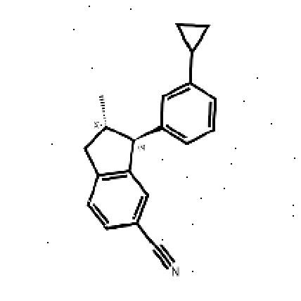 C[C@H]1Cc2ccc(C#N)cc2[C@@H]1c1cccc(C2CC2)c1